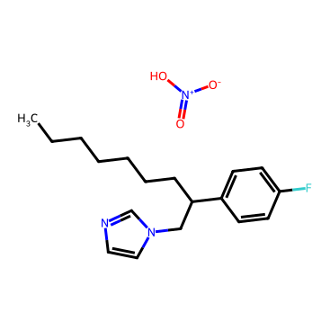 CCCCCCCC(Cn1ccnc1)c1ccc(F)cc1.O=[N+]([O-])O